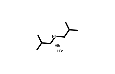 Br.Br.CC(C)[CH2][Hf][CH2]C(C)C